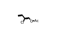 C=CC(Cl)=COC(C)=O